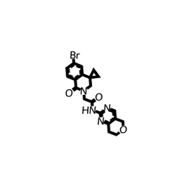 O=C(CN1CC2(CC2)c2cc(Br)ccc2C1=O)Nc1ncc2c(n1)CCOC2